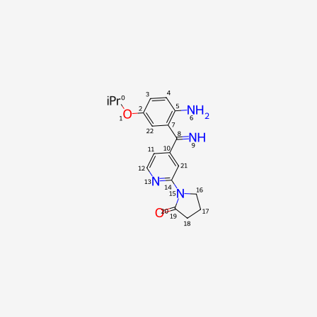 CC(C)Oc1ccc(N)c(C(=N)c2ccnc(N3CCCC3=O)c2)c1